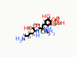 C[C@@](Cc1ccc(OP(=O)(O)O)c(O)c1)(NN)C(=O)N[C@@H](CCCCN)C(=O)O